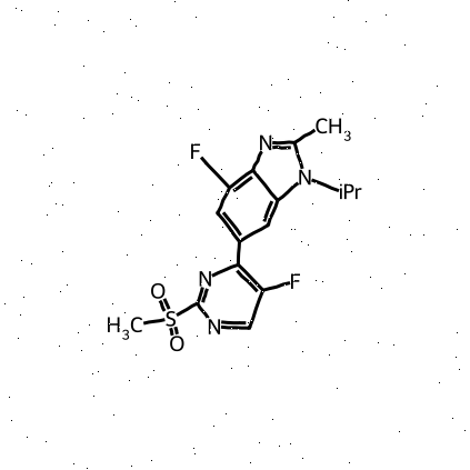 Cc1nc2c(F)cc(-c3nc(S(C)(=O)=O)ncc3F)cc2n1C(C)C